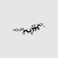 CCCCCCCCOC(=O)C=CC(=O)OC(F)(F)C(F)(F)C(F)CC(F)(F)F